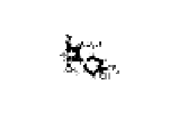 CCOC(=O)c1c(Br)nn(C)c1N1CCC(O)(C(F)(F)F)CC1